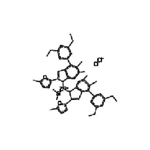 CCc1cc(CC)cc(-c2c(C)c(C)cc3c2C=C(c2ccc(C)o2)[CH]3[Zr+2]([CH]2C(c3ccc(C)o3)=Cc3c2cc(C)c(C)c3-c2cc(CC)cc(CC)c2)=[Si](C)C)c1.[Cl-].[Cl-]